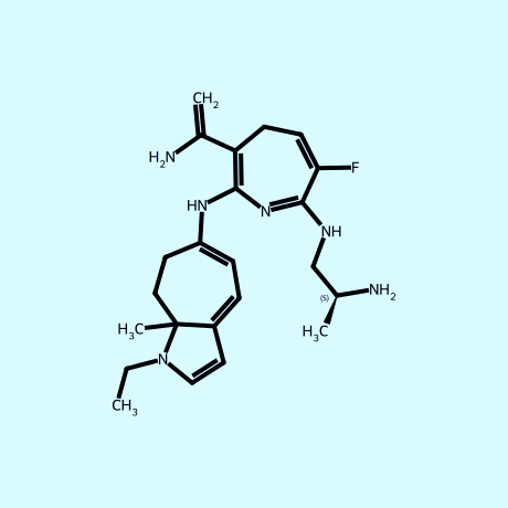 C=C(N)C1=C(NC2=CC=C3C=CN(CC)C3(C)CC2)N=C(NC[C@H](C)N)C(F)=CC1